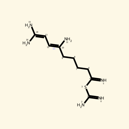 N=C(N)SC(=N)CCCC/C(N)=C/C=C(N)N